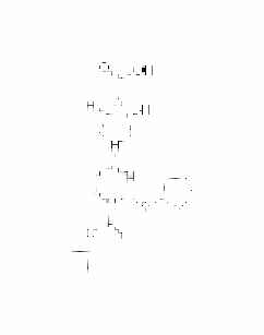 CC(C)(C)OC(=O)c1ccc(N2C[C@@H]3C(C(=O)O)[C@@H]3C2)nc1SC1CCCC1